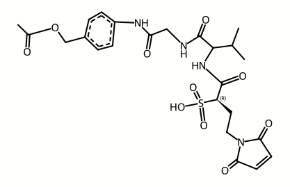 CC(=O)OCc1ccc(NC(=O)CNC(=O)C(NC(=O)[C@@H](CCN2C(=O)C=CC2=O)S(=O)(=O)O)C(C)C)cc1